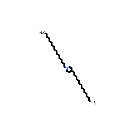 CCCCCCCCCCCCCCCCC[n+]1ccc(CCCCCCCCCCCCCCC)cc1